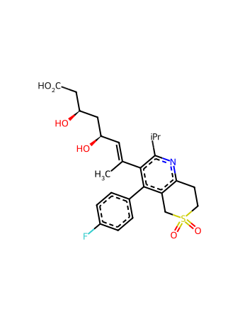 C/C(=C\[C@@H](O)C[C@@H](O)CC(=O)O)c1c(C(C)C)nc2c(c1-c1ccc(F)cc1)CS(=O)(=O)CC2